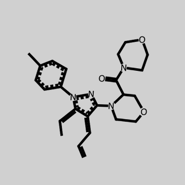 C=C/C=c1/c(N2CCOCC2C(=O)N2CCOCC2)nn(-c2ccc(C)cc2)/c1=C/C